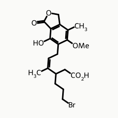 COc1c(C)c2c(c(O)c1CC=C(C)C(CCCBr)CC(=O)O)C(=O)OC2